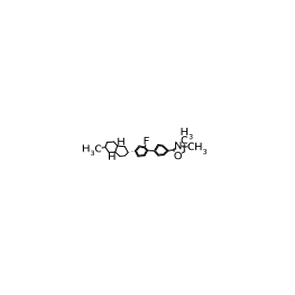 CC1CC[C@@H]2C[C@H](c3ccc(-c4ccc(C5=NC(C)(C)CO5)cc4)c(F)c3)CC[C@@H]2C1